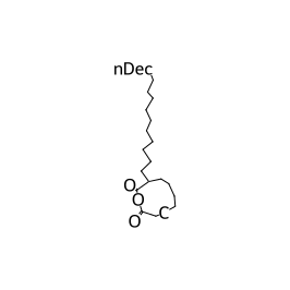 CCCCCCCCCCCCCCCCCCCCC1CCCCCCC(=O)OC1=O